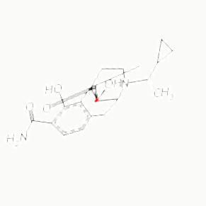 C[C@@H](C1CC1)N1CCC23CC(=O)CC[C@@]2(O)C1Cc1ccc(C(N)=O)c(O)c13